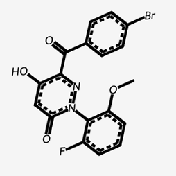 COc1cccc(F)c1-n1nc(C(=O)c2ccc(Br)cc2)c(O)cc1=O